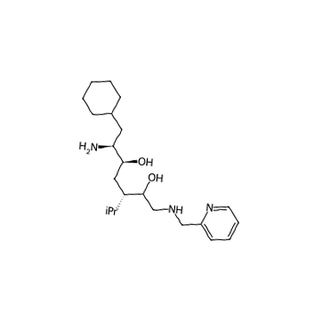 CC(C)[C@H](C[C@H](O)[C@@H](N)CC1CCCCC1)C(O)CNCc1ccccn1